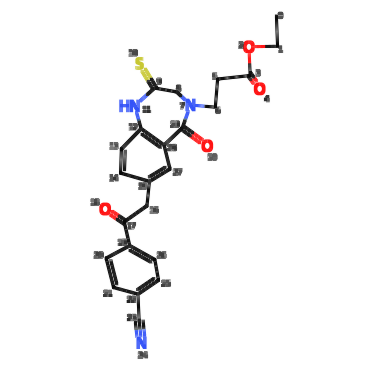 CCOC(=O)CCN1CC(=S)Nc2ccc(CC(=O)c3ccc(C#N)cc3)cc2C1=O